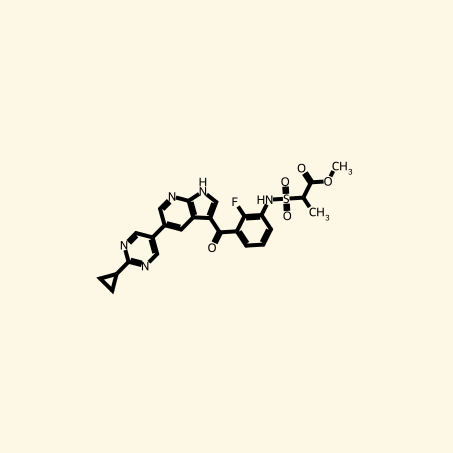 COC(=O)C(C)S(=O)(=O)Nc1cccc(C(=O)c2c[nH]c3ncc(-c4cnc(C5CC5)nc4)cc23)c1F